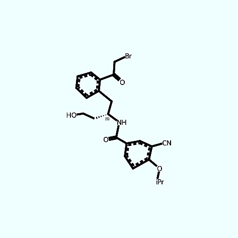 CC(C)Oc1ccc(C(=O)N[C@H](CCO)Cc2ccccc2C(=O)CBr)cc1C#N